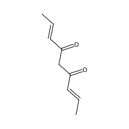 C/C=C/C(=O)CC(=O)/C=C/C